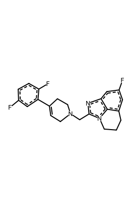 Fc1ccc(F)c(C2=CCN(Cc3nc4cc(F)cc5c4n3CCC5)CC2)c1